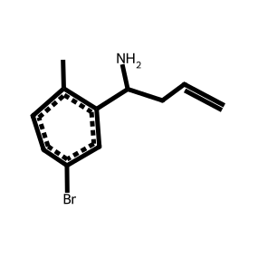 C=CCC(N)c1cc(Br)ccc1C